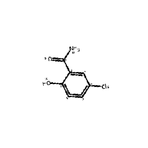 NC(=O)C1=CC(Cl)=C=C=C1O